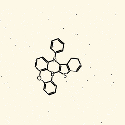 C1=Cc2sc3c(c2CC1)N(c1ccccc1)c1cccc2c1B3c1ccccc1O2